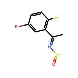 C/C(=N\[SH]=O)c1cc(Br)ccc1F